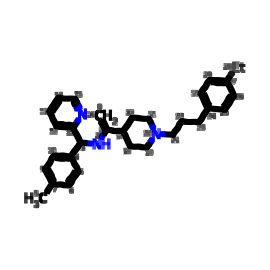 C=C(NC(c1ccc(C)cc1)c1ccccn1)C1CCN(CCCc2ccc(CC)cc2)CC1